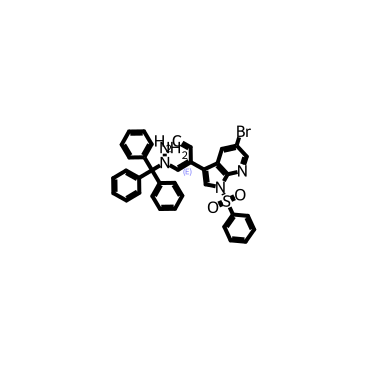 C=C/C(=C\N(N)C(c1ccccc1)(c1ccccc1)c1ccccc1)c1cn(S(=O)(=O)c2ccccc2)c2ncc(Br)cc12